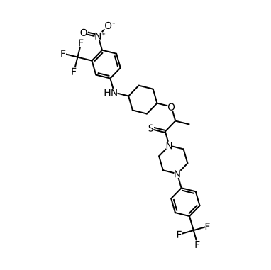 CC(OC1CCC(Nc2ccc([N+](=O)[O-])c(C(F)(F)F)c2)CC1)C(=S)N1CCN(c2ccc(C(F)(F)F)cc2)CC1